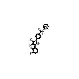 O=C(NC1CN2CCC1CC2)c1ccc(-n2[nH]c3c(nnc4c(F)cccc43)c2=O)cc1